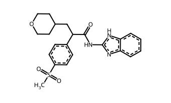 CS(=O)(=O)c1ccc(C(CC2CCOCC2)C(=O)Nc2nc3ccccc3[nH]2)cc1